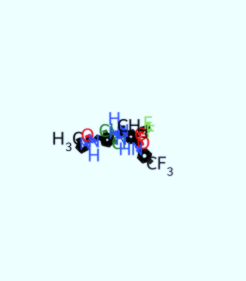 CC1CCCN1C(=O)NCc1ccc(Cl)c(Nc2nc3cc(C(=O)NC4CCC(C(F)(F)F)CC4)c(OCC(F)F)cc3n2C)c1Cl